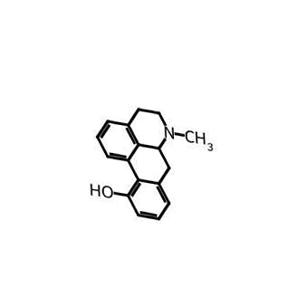 CN1CCc2cccc3c2C1Cc1cccc(O)c1-3